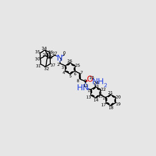 CN(Cc1ccc(/C=C/C(=O)Nc2ccc(-c3ccccc3)cc2N)cc1)CC12CC3CC(CC(C3)C1)C2